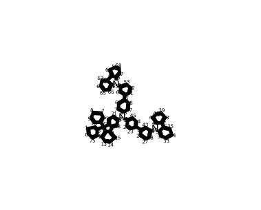 c1ccc(C2(c3ccccc3)c3ccccc3-c3cc(N(c4ccc(-c5cccc(-n6c7ccccc7c7ccccc76)c5)cc4)c4ccc(-c5cccc(-n6c7ccccc7c7ccccc76)c5)cc4)ccc32)cc1